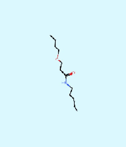 CCCCCNC(=O)CCOCCCC